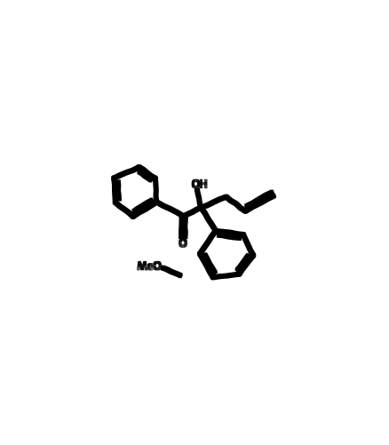 C=CCC(O)(C(=O)c1ccccc1)c1ccccc1.COC